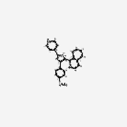 COc1ccc(-c2cc(-c3ccncc3)[nH]c2-c2nccc3ccccc23)cc1